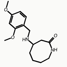 COc1ccc(CNC2CCCCNC(=O)C2)c(OC)c1